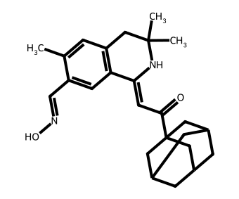 Cc1cc2c(cc1C=NO)C(=CC(=O)C13CC4CC(CC(C4)C1)C3)NC(C)(C)C2